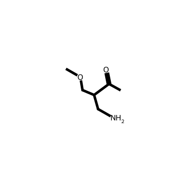 COCC(CN)C(C)=O